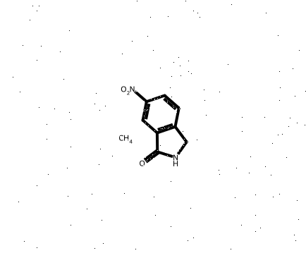 C.O=C1NCc2ccc([N+](=O)[O-])cc21